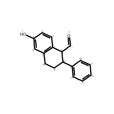 O=CC1c2ccc(O)cc2CCC1c1ccccc1